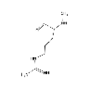 CNC([C]=O)CCCNC(=N)N